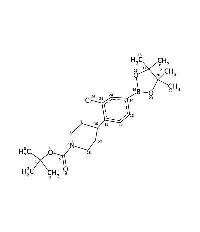 CC(C)(C)OC(=O)N1CCC(c2ccc(B3OC(C)(C)C(C)(C)O3)cc2Cl)CC1